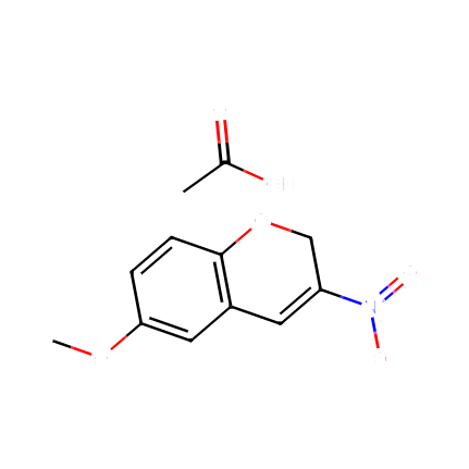 CC(=O)O.COc1ccc2c(c1)C=C([N+](=O)[O-])CO2